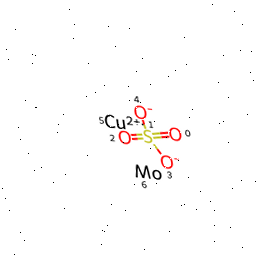 O=S(=O)([O-])[O-].[Cu+2].[Mo]